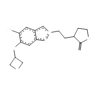 Nc1cc2cn(CCC3CCNC3=O)nc2cc1OC1COC1